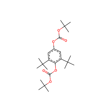 CC(C)(C)OC(=O)Oc1cc(C(C)(C)C)c(OC(=O)OC(C)(C)C)c(C(C)(C)C)c1